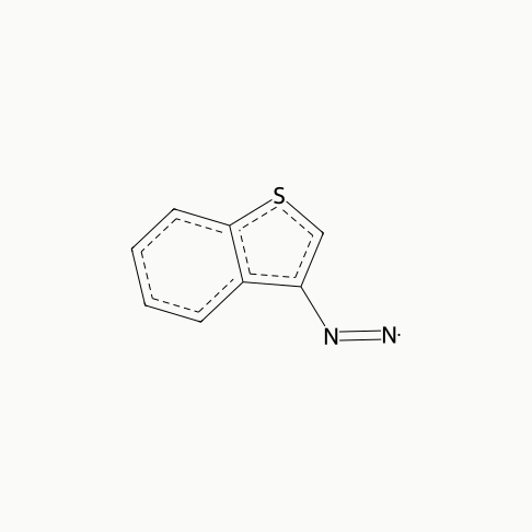 [N]=Nc1csc2ccccc12